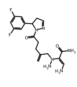 C=C(CCC(=O)N1N=CCC1c1cc(F)cc(F)c1)CN(N)/C(=C\N)C(N)=O